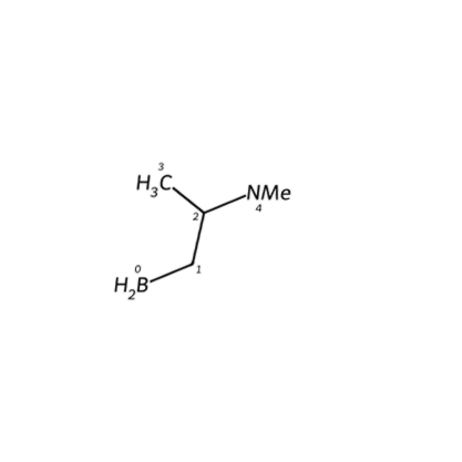 BCC(C)NC